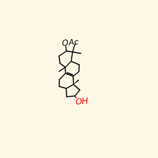 CC(=O)OC1CCC2(C)C3=C(CCC2C1(C)C)[C@]1(C)C[C@@H](O)CC1CC3